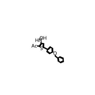 CC(=O)c1sc(-c2ccc(OCc3ccccc3)cc2)cc1NO